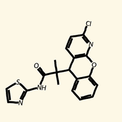 CC(C)(C(=O)Nc1nccs1)C1c2ccccc2Oc2nc(Cl)ccc21